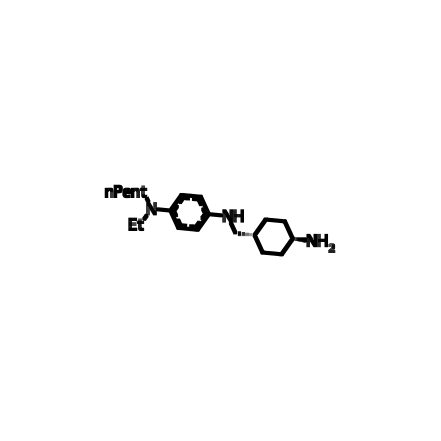 CCCCCN(CC)c1ccc(NC[C@H]2CC[C@H](N)CC2)cc1